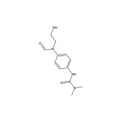 CN(C)C(=O)Nc1ccc(N(C=O)CCO)cc1